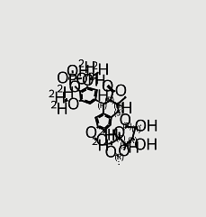 [2H]C([2H])([2H])Oc1cc([C@@H]2c3cc4c(cc3[C@@H](O[C@@H]3O[C@H]5[C@@H](O[C@H](C)OC5([2H])[2H])[C@H](O)[C@H]3O)[C@H]3COC(=O)[C@H]23)OCO4)cc(OC([2H])([2H])[2H])c1OP(=O)(O)O